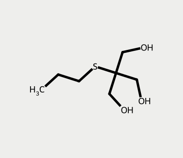 CCCSC(CO)(CO)CO